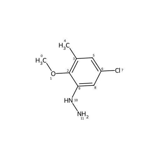 COc1c(C)cc(Cl)cc1NN